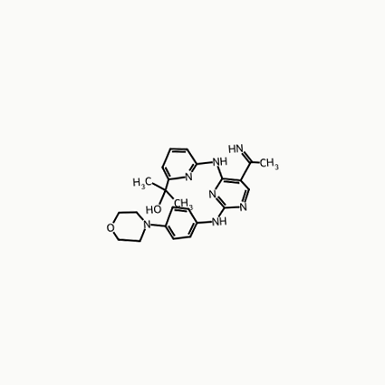 CC(=N)c1cnc(Nc2ccc(N3CCOCC3)cc2)nc1Nc1cccc(C(C)(C)O)n1